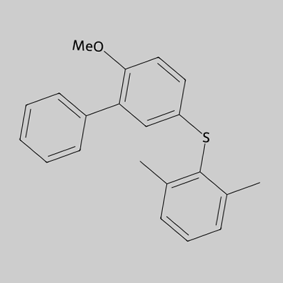 COc1ccc(Sc2c(C)cccc2C)cc1-c1ccccc1